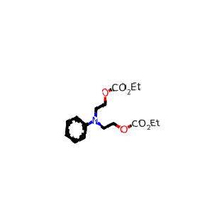 CCOC(=O)OCCN(CCOC(=O)OCC)c1ccccc1